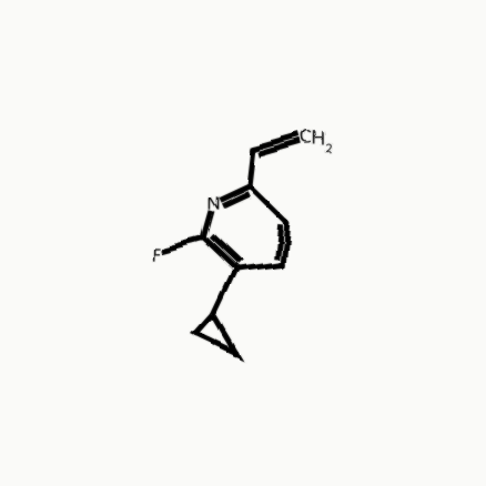 C=Cc1ccc(C2CC2)c(F)n1